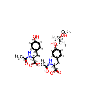 CC(=O)N[C@@H](Cc1ccc(O)cc1)C(=O)[O-].CC(=O)N[C@@H](Cc1ccc(O)cc1)C(=O)[O-].C[SiH2]O.[Cu+2]